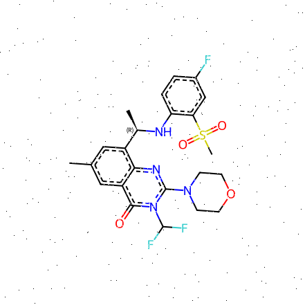 Cc1cc([C@@H](C)Nc2ccc(F)cc2S(C)(=O)=O)c2nc(N3CCOCC3)n(C(F)F)c(=O)c2c1